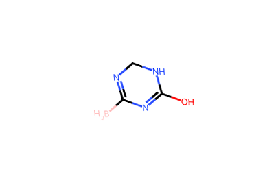 BC1=NCNC(O)=N1